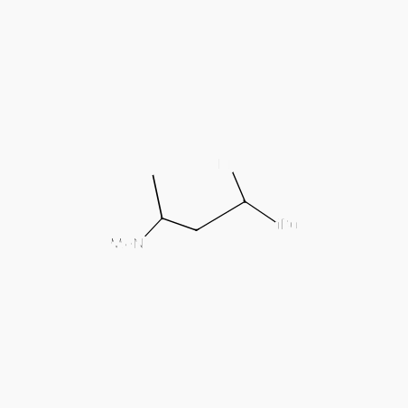 CCC(C)C(CC)CC(C)NC